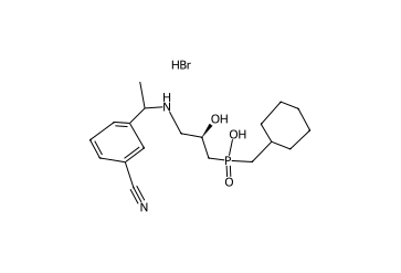 Br.CC(NC[C@@H](O)CP(=O)(O)CC1CCCCC1)c1cccc(C#N)c1